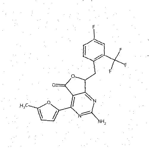 Cc1ccc(-c2nc(N)nc3c2C(=O)OC3Cc2ccc(F)cc2C(F)(F)F)o1